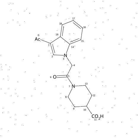 CC(=O)c1cn(CC(=O)N2CCC(C(=O)O)CC2)c2ccccc12